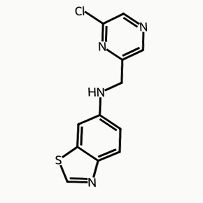 Clc1cncc(CNc2ccc3ncsc3c2)n1